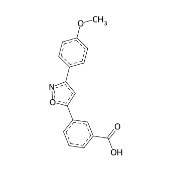 COc1ccc(-c2cc(-c3cccc(C(=O)O)c3)on2)cc1